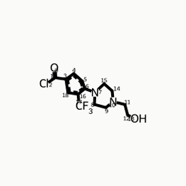 O=C(Cl)c1ccc(N2CCN(CCO)CC2)c(C(F)(F)F)c1